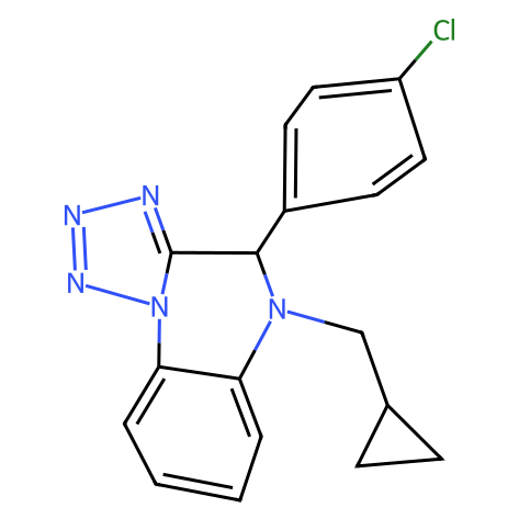 Clc1ccc(C2c3nnnn3-c3ccccc3N2CC2CC2)cc1